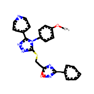 COc1ccc(-n2c(SCc3nc(-c4ccccc4)no3)nnc2-c2ccncc2)cc1